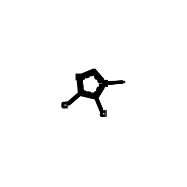 [CH2]n1cnc(Cl)c1Cl